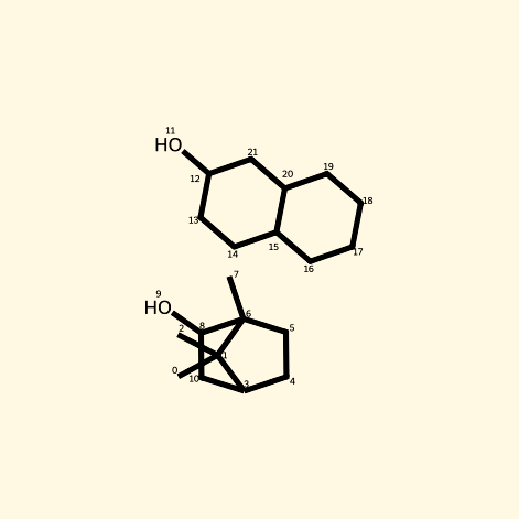 CC1(C)C2CCC1(C)C(O)C2.OC1CCC2CCCCC2C1